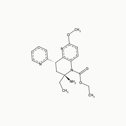 CCOC(=O)N1c2ccc(OC)nc2[C@@H](c2ccccn2)C[C@@]1(N)CC